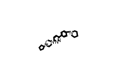 c1cc(-c2ccc(N3CCN(C4CCCC4)CC3)nn2)ccc1CN1CCCCC1